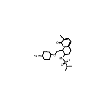 Cc1ccc2n(c1=O)C(COC1CCC(C(C)(C)C)CC1)C(NS(=O)(=O)N(C)C)CC2